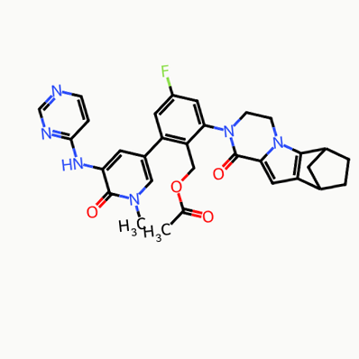 CC(=O)OCc1c(-c2cc(Nc3ccncn3)c(=O)n(C)c2)cc(F)cc1N1CCn2c(cc3c2C2CCC3C2)C1=O